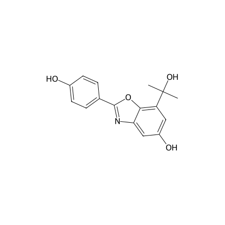 CC(C)(O)c1cc(O)cc2nc(-c3ccc(O)cc3)oc12